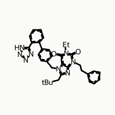 CCn1c(=O)c2c(nc(CC(C)(C)C)n2Cc2ccc(-c3ccccc3-c3nnn[nH]3)cc2)n(CCc2ccccc2)c1=O